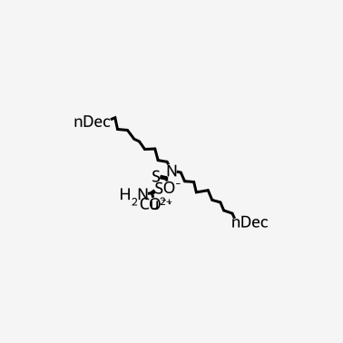 CCCCCCCCCCCCCCCCCCCN(CCCCCCCCCCCCCCCCCCC)C([O-])=S.NC([O-])=S.[Cu+2]